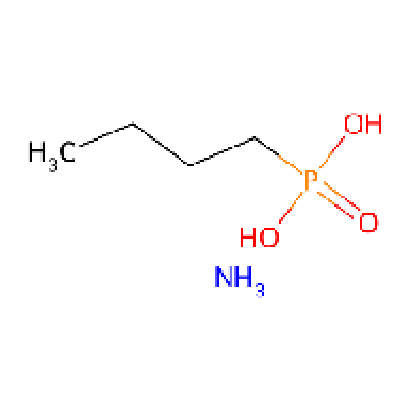 CCCCP(=O)(O)O.N